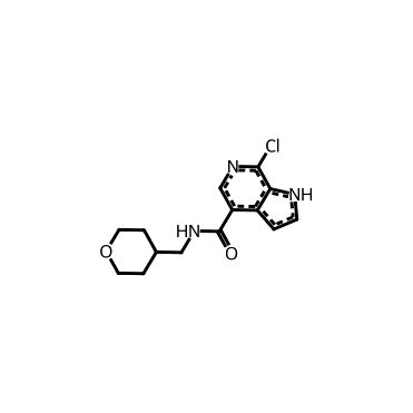 O=C(NCC1CCOCC1)c1cnc(Cl)c2[nH]ccc12